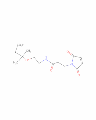 CC(C)(CC(=O)O)OCCNC(=O)CCN1C(=O)C=CC1=O